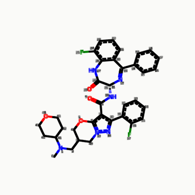 CN(CC1COc2c(C(=O)N[C@H]3N=C(c4ccccc4)c4cccc(F)c4NC3=O)c(-c3ccccc3F)nn2C1)C1CCOCC1